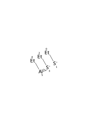 CC[S-].CC[S-].C[CH2][Al+2]